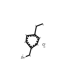 CCc1ccc([CH2][Zn+])cc1.[Cl-]